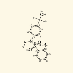 CCN(c1ccc(C(C)(C)O)cc1)S(=O)(=O)c1ccccc1Cl